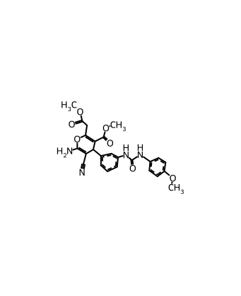 COC(=O)CC1=C(C(=O)OC)C(c2cccc(NC(=O)Nc3ccc(OC)cc3)c2)C(C#N)=C(N)O1